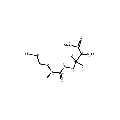 COC(=O)C(NC(C)=O)C(C)(C)SSC(=O)N(C)CCCN